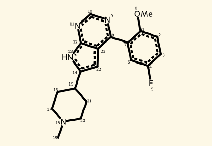 COc1ccc(F)cc1-c1ncnc2[nH]c(C3CCN(C)CC3)cc12